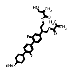 C=C(C)C(=O)OCC(CCOC(=O)C(=C)CO)c1ccc(-c2ccc(C3CCC(CCCCCC)CC3)c(F)c2)c(F)c1